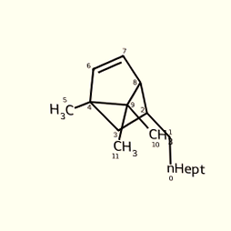 CCCCCCCCC1CC2(C)C=CC1C2(C)C